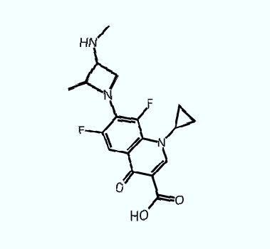 CNC1CN(c2c(F)cc3c(=O)c(C(=O)O)cn(C4CC4)c3c2F)C1C